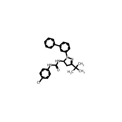 CC(C)(C)C1=NN(c2cccc(-c3ccccc3)c2)C(NC(=O)Nc2ccc(Cl)cc2)C1